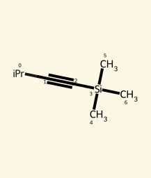 CC(C)C#C[Si](C)(C)C